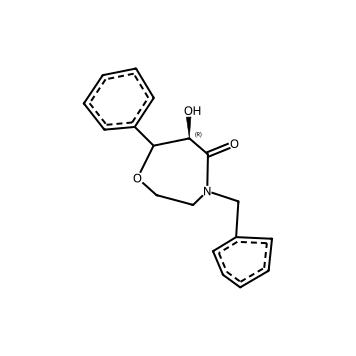 O=C1[C@H](O)C(c2ccccc2)OCCN1Cc1ccccc1